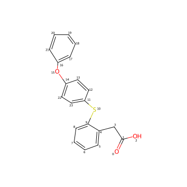 O=C(O)Cc1ccccc1Sc1ccc(Oc2ccccc2)cc1